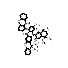 Cc1cc(-c2cccc3c2Nc2ccccc2O3)c2c(c1)N(c1cc3c(cc1C)C(C)(C)CCC3(C)C)c1cc3c(cc1B2)Oc1ccccc1C3(C)C